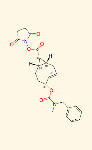 CN(Cc1ccccc1)C(=O)O[C@H]1/C=C/C[C@@H]2[C@H](CC1)[C@@H]2C(=O)ON1C(=O)CCC1=O